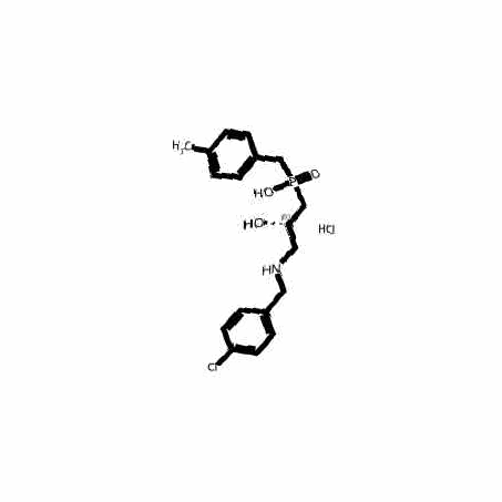 Cc1ccc(CP(=O)(O)C[C@@H](O)CNCc2ccc(Cl)cc2)cc1.Cl